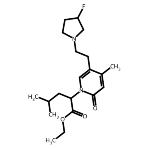 CCOC(=O)C(CC(C)C)n1cc(CCN2CCC(F)C2)c(C)cc1=O